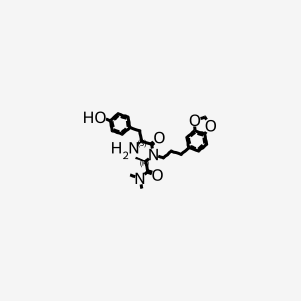 C[C@H](C(=O)N(C)C)N(CCCc1ccc2c(c1)OCO2)C(=O)[C@@H](N)Cc1ccc(O)cc1